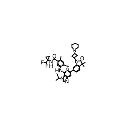 Cc1cc(F)c(Nc2nc(-c3ccc4c(c3)N([C@]3(C)C[C@H](N5CCCCC5)C3)C(=O)C4(C)C)cc3ncn(C(C)C)c23)cc1C(=O)NC1(C(F)F)CC1